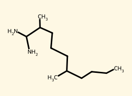 CCCCC(C)CCCC(C)C(N)N